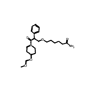 COCOC1CCN(C(=O)C(COCCCCCC(N)=O)c2ccccc2)CC1